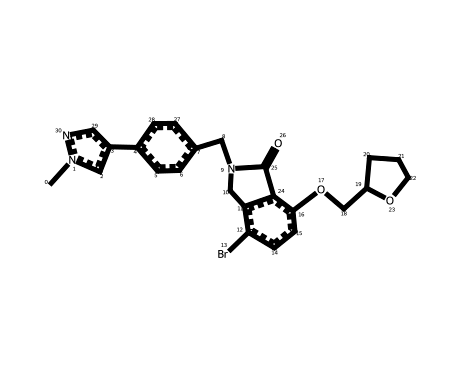 Cn1cc(-c2ccc(CN3Cc4c(Br)ccc(OCC5CCCO5)c4C3=O)cc2)cn1